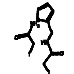 NC(=O)CI.O=C(CI)NCc1ccco1